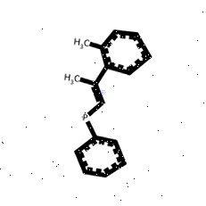 C/C(=C\[P]c1ccccc1)c1ccccc1C